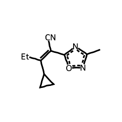 CCC(=C(C#N)c1nc(C)no1)C1CC1